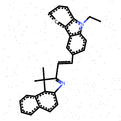 CCn1c2ccccc2c2cc(C=CC3=Nc4ccc5ccccc5c4C3(C)C)ccc21